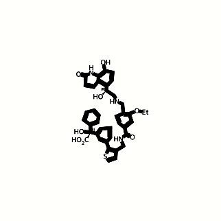 CCOc1cc(C(=O)NCc2ccsc2-c2cccc([C@](O)(C(=O)O)c3ccccc3)c2)ccc1CNC[C@H](O)c1ccc(O)c2[nH]c(=O)ccc12